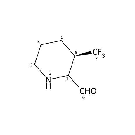 O=CC1NCCC[C@H]1C(F)(F)F